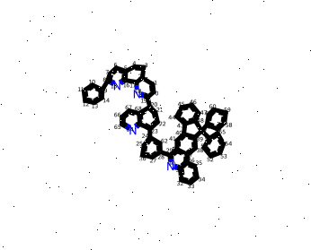 C1=CC2C=Cc3ccc(-c4ccccc4)nc3C2N=C1c1ccc(-c2cccc(-c3nc4ccccc4c4cc5c(cc34)-c3ccccc3C5(c3ccccc3)c3ccccc3)c2)c2ncccc12